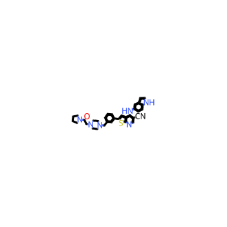 N#Cc1cnc2sc(-c3cccc(CN4CCN(CC(=O)N5CCCC5)CC4)c3)cc2c1Nc1ccc2[nH]ccc2c1